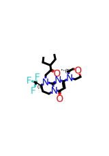 CCC(CC)C(=O)CN1c2nc(N3CCOC[C@H]3C)cc(=O)n2CC[C@H]1C(F)(F)F